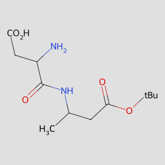 CC(CC(=O)OC(C)(C)C)NC(=O)C(N)CC(=O)O